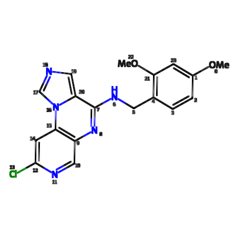 COc1ccc(CNc2nc3cnc(Cl)cc3n3cncc23)c(OC)c1